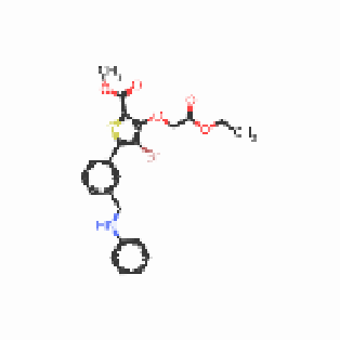 CCOC(=O)COc1c(C(=O)OC)sc(-c2cccc(CNc3ccccc3)c2)c1Br